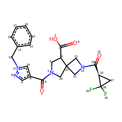 O=C(O)C1CN(C(=O)c2cnn(Cc3ccccc3)c2)CC12CN(C(=O)[C@H]1CC1(F)F)C2